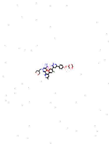 COc1cc(-c2cnc(N)c(-c3ccc(-c4cc(C)cnc4-c4cn(CC5CCOCC5)cc(C(N)=O)c4=O)cc3F)c2)ccc1OC[C@H]1COCCO1